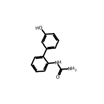 NC(=O)Nc1ccccc1-c1cccc(O)c1